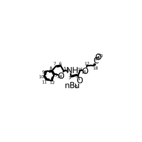 CCCCO/C(=C/NC1C=Cc2ccccc2O1)COCC=C=O